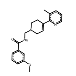 COc1cccc(C(=O)NCN2CC=C(c3ncccc3C)CC2)c1